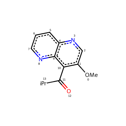 COc1cnc2cccnc2c1C(=O)C(C)C